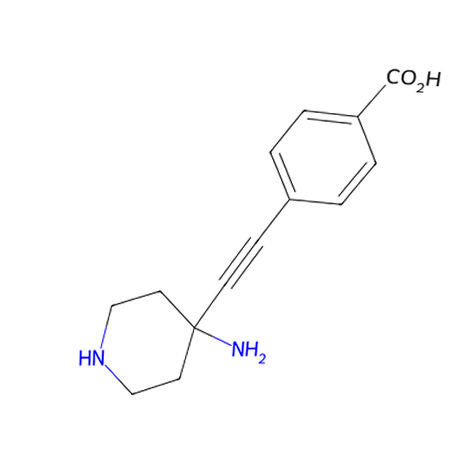 NC1(C#Cc2ccc(C(=O)O)cc2)CCNCC1